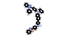 c1ccc(N(c2ccc(-c3nc4ccccc4n3-c3ccccc3)cc2)c2ccc3cc(-c4ccc(Nc5ccc(-c6nc7ccccc7o6)cc5)cc4)ccc3c2)cc1